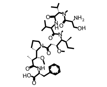 CC[C@H](C)[C@@H]([C@@H](CC(=O)N1CCC[C@H]1[C@H](OC)[C@@H](C)C(=O)N[C@@H](Cc1ccccc1)C(=O)O)OC)N(C)C(=O)C(NC(=O)[C@H](C(C)C)N(C)C(=O)[C@H](N)CO)C(C)C